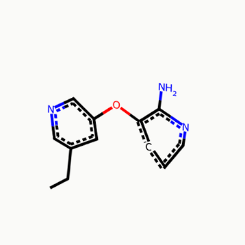 CCc1cncc(Oc2cccnc2N)c1